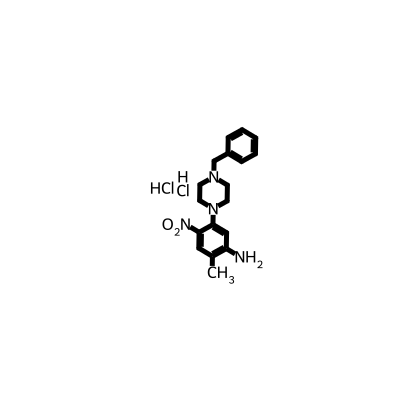 Cc1cc([N+](=O)[O-])c(N2CCN(Cc3ccccc3)CC2)cc1N.Cl.Cl